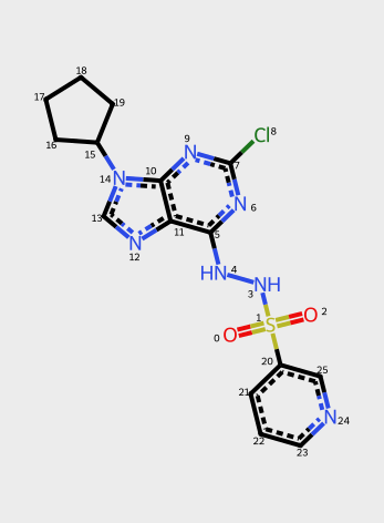 O=S(=O)(NNc1nc(Cl)nc2c1ncn2C1CCCC1)c1cccnc1